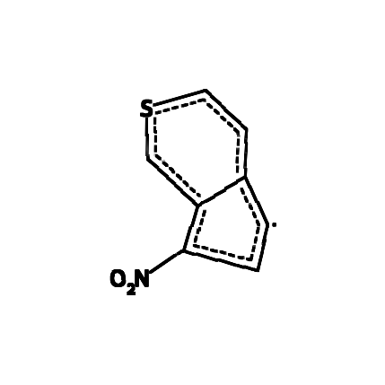 O=[N+]([O-])c1c[c]c2ccscc1-2